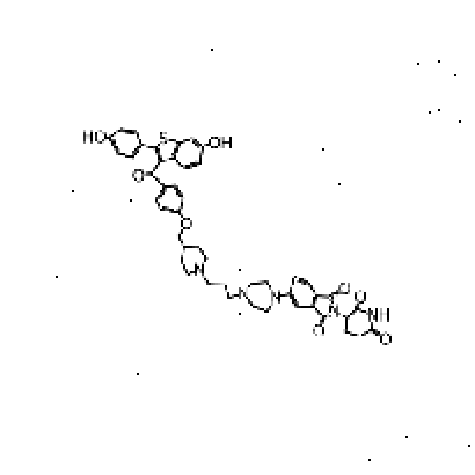 O=C1CCC(N2C(=O)c3ccc(N4CCN(CCCN5CCC(COc6ccc(C(=O)c7c(-c8ccc(O)cc8)sc8cc(O)ccc78)cc6)CC5)CC4)cc3C2=O)C(=O)N1